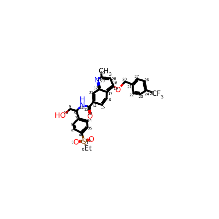 CCS(=O)(=O)c1ccc(C(CO)NC(=O)c2ccc3c(OCc4ccc(C(F)(F)F)cc4)cc(C)nc3c2)cc1